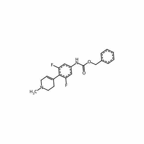 CN1CC=C(c2c(F)cc(NC(=O)OCc3ccccc3)cc2F)CC1